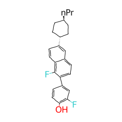 CCC[C@H]1CC[C@H](c2ccc3c(F)c(-c4ccc(O)c(F)c4)ccc3c2)CC1